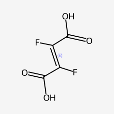 O=C(O)/C(F)=C(\F)C(=O)O